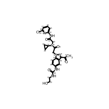 CC(=O)c1nn(CC(=O)N(CC(=O)Nc2cccc(Cl)n2)C2CC2)c2ccc(NC(=O)NCCO)cc12